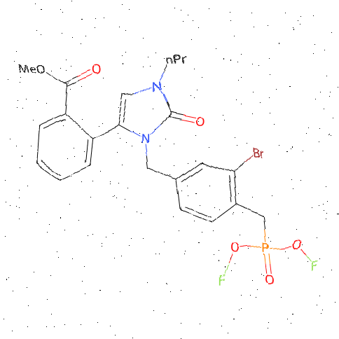 CCCn1cc(-c2ccccc2C(=O)OC)n(Cc2ccc(CP(=O)(OF)OF)c(Br)c2)c1=O